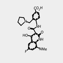 CNc1cc(F)cc2c(O)c(C(=O)Nc3ccc(C(=O)O)cc3CN3CCCC3)c(=O)[nH]c12